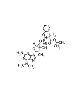 CC(C)OC(=O)[C@H](C)N(Oc1ccccc1)[PH](=S)OC1[C@H]2O[C@@H](n3cnc4c(N(C)C)nc(N)nc43)[C@](C)(F)[C@@]12O